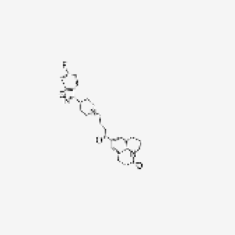 O=C(CCCN1CCC(c2noc3cc(F)ccc23)CC1)c1cc2c3c(c1)CCC(=O)N3CCC2